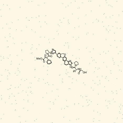 COC(=O)N[C@@H](C(=O)N1CCC[C@H]1c1ncc(-c2ccc3c(c2)COc2cc4c(ccc5[nH]c([C@@H]6CCCN6C(=O)[C@@H](NC(=O)CO)C(C)C)nc54)cc2-3)[nH]1)c1ccccc1